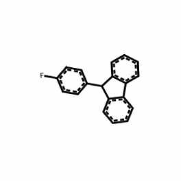 Fc1[c]cc(C2c3ccccc3-c3ccccc32)cc1